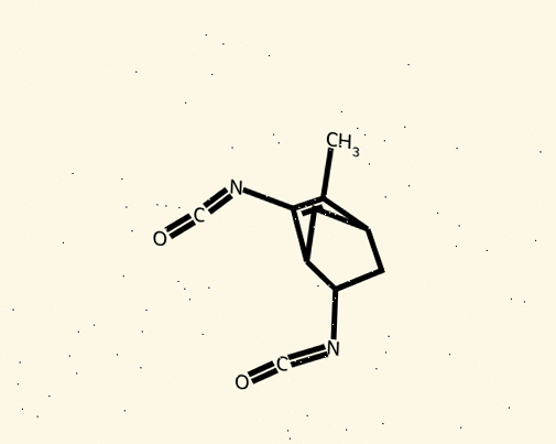 CC1=C(N=C=O)C2CC1CC2N=C=O